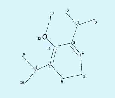 CC(C)C1=CCCC(C(C)C)=C1OI